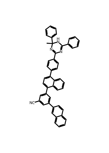 CC1(c2ccccc2)N=C(c2ccc(-c3ccc(-c4cc(C#N)cc(-c5ccc6ccccc6c5)c4)c4ccccc34)cc2)N=C(c2ccccc2)N1